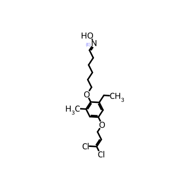 CCc1cc(OCC=C(Cl)Cl)cc(C)c1OCCCCC/C=N/O